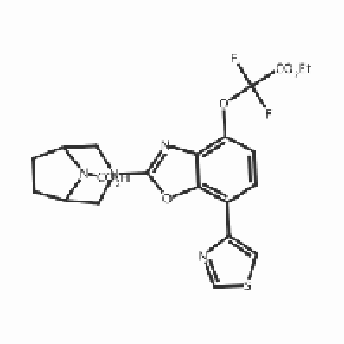 CCOC(=O)C(F)(F)Oc1ccc(-c2cscn2)c2oc(N3CC4CCC(C3)N4C(=O)O)nc12